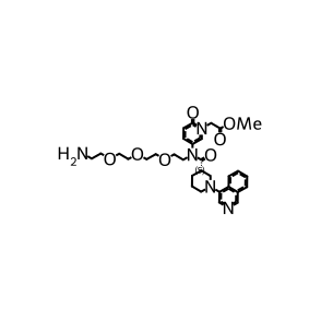 COC(=O)Cn1cc(N(CCOCCOCCOCCN)C(=O)[C@H]2CCCN(c3cncc4ccccc34)C2)ccc1=O